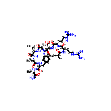 CC[C@H](C)[C@H](NC(=O)[C@H](Cc1ccccc1)NC(=O)[C@@H](NC(=O)[C@H](CC(=O)O)NC(=O)[C@H](C)NC(=O)[C@H](CO)NC(=O)[C@H](CCCNC(=N)N)NC(=O)[C@H](CCCNC(=N)N)NC(=O)[C@H](C)NC)[C@@H](C)CC)C(N)=O